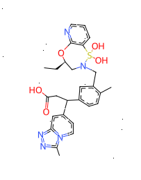 CC[C@@H]1CN(Cc2cc(C(CC(=O)O)c3ccn4c(C)nnc4c3)ccc2C)S(O)(O)c2cccnc2O1